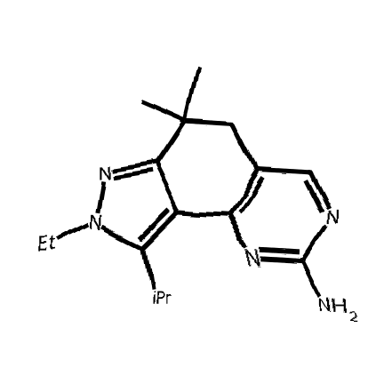 CCn1nc2c(c1C(C)C)-c1nc(N)ncc1CC2(C)C